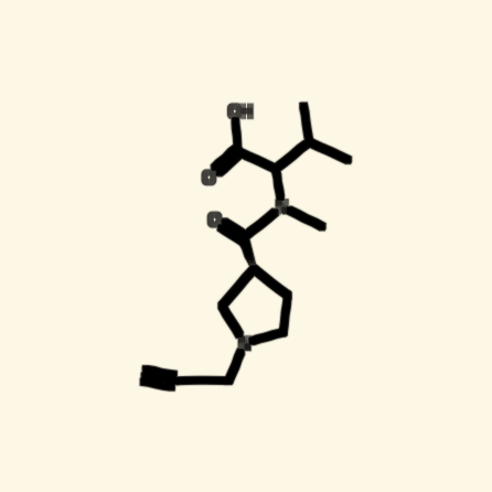 C#CCN1CC[C@H](C(=O)N(C)C(C(=O)O)C(C)C)C1